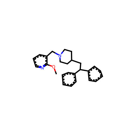 COc1ncccc1CN1CCC(CC(c2ccccc2)c2ccccc2)CC1